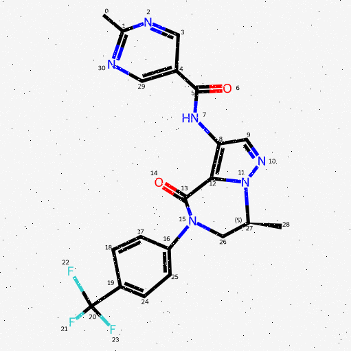 Cc1ncc(C(=O)Nc2cnn3c2C(=O)N(c2ccc(C(F)(F)F)cc2)C[C@@H]3C)cn1